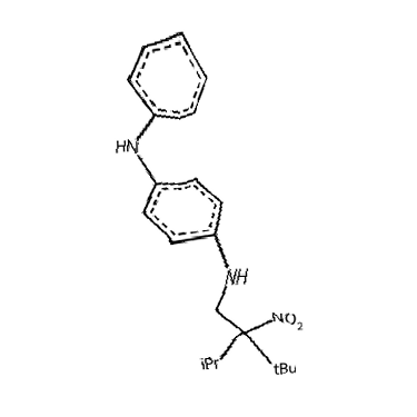 CC(C)C(CNc1ccc(Nc2ccccc2)cc1)([N+](=O)[O-])C(C)(C)C